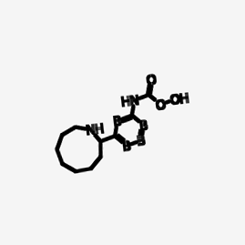 O=C(Nc1bbbc(C2CCCCCCCN2)b1)OO